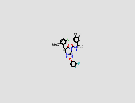 CC[C@@H](NC(=O)N1C/C(=N/Oc2ccc(F)c(F)c2)NC[C@@H](Cc2cc(Cl)ccc2OC)C1=O)c1ccc(C(=O)O)cc1